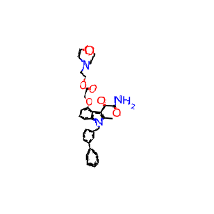 Cc1c(C(=O)C(N)=O)c2c(OCC(=O)OCCN3CCOCC3)cccc2n1Cc1cccc(-c2ccccc2)c1